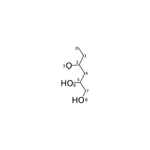 CCC([O])CC(O)CO